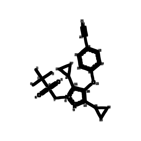 CC(C)(C)S(=O)(=O)Cn1nc(C2CC2)c(Oc2ccc(C#N)cc2)c1C1CC1